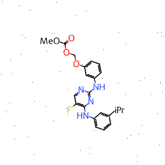 COC(=O)OCOc1cccc(Nc2ncc(F)c(Nc3cccc(C(C)C)c3)n2)c1